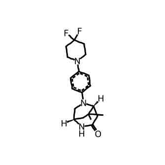 CC1(C)C[C@H]2CN(c3ccc(N4CCC(F)(F)CC4)cc3)[C@@H]1CC(=O)N2